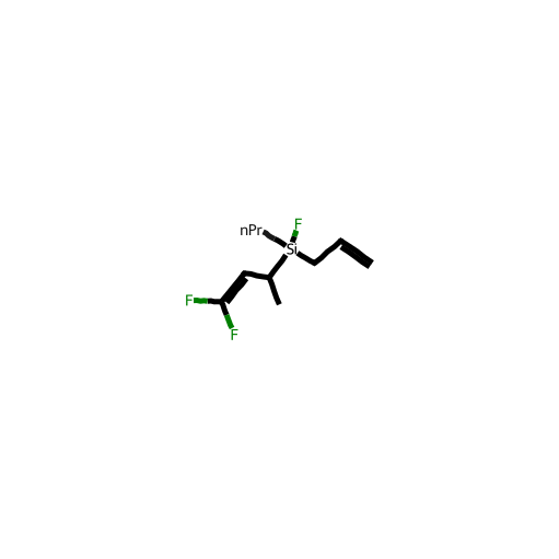 C=CC[Si](F)(CCC)C(C)C=C(F)F